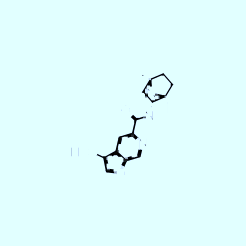 Cc1coc2cnc(C(=O)N[C@@H]3C[C@H]4CC[C@@H]3N4)cc12